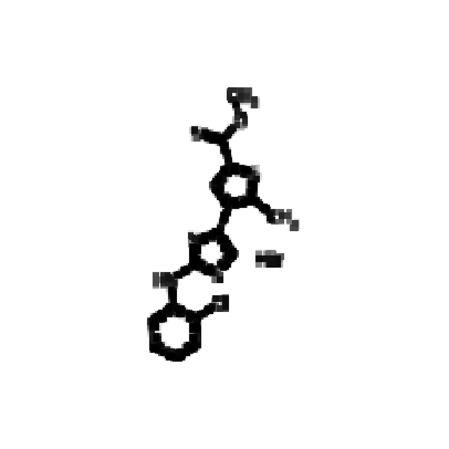 Br.COC(=S)c1cc(-c2csc(Nc3ccccc3Cl)n2)c(C)s1